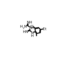 CCc1cc(C)c(NC(=N)NC(=N)N)c(Cl)c1